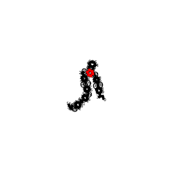 CCC(C)c1ccc(S(=O)(=O)c2ccc(Oc3ccc(OC(C)c4ccc(S(=O)(=O)c5ccc(Oc6ccc(C(C)(C)c7ccc(OC(C)(C)CC)cc7)cc6)cc5)cc4)c4c3C3c5ccccc5C4c4ccccc43)cc2)cc1